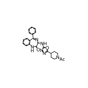 CC(=O)N1CCC(c2nnc(N[C@H]3N=C(c4ccccc4)c4ccccc4NC3=O)o2)CC1